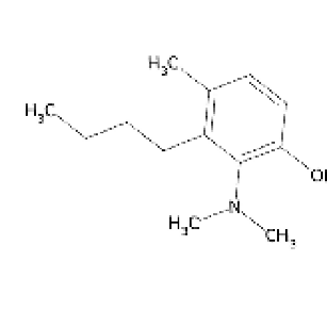 CCCCc1c(C)ccc(O)c1N(C)C